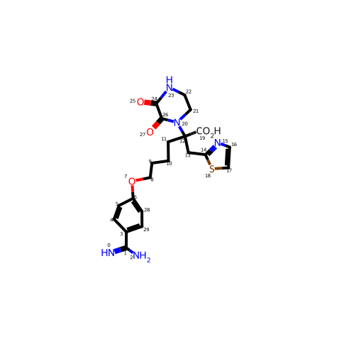 N=C(N)c1ccc(OCCCCC(Cc2nccs2)(C(=O)O)N2CCNC(=O)C2=O)cc1